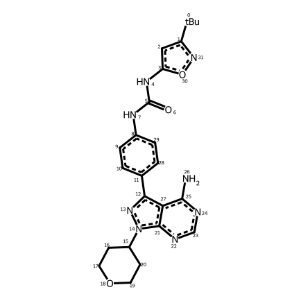 CC(C)(C)c1cc(NC(=O)Nc2ccc(-c3nn(C4CCOCC4)c4ncnc(N)c34)cc2)on1